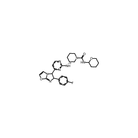 O=C(NC1CCCCO1)N1CCC[C@@H](Nc2nccc(C3C(c4ccc(F)cc4)N=C4OC=CN43)n2)C1